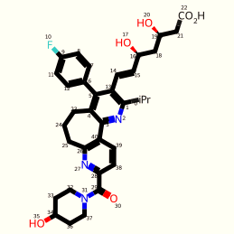 CC(C)c1nc2c(c(-c3ccc(F)cc3)c1/C=C/[C@@H](O)C[C@@H](O)CC(=O)O)CCCc1nc(C(=O)N3CCC(O)CC3)ccc1-2